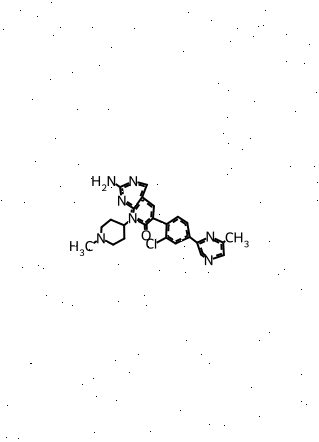 Cc1cncc(-c2ccc(-c3cc4cnc(N)nc4n(C4CCN(C)CC4)c3=O)c(Cl)c2)n1